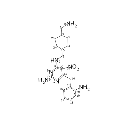 NCC1CCC(CNc2nc(N)nc(Cc3ccccc3N)c2[N+](=O)[O-])CC1